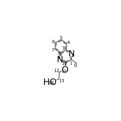 Cc1nc2ccccc2nc1OCCO